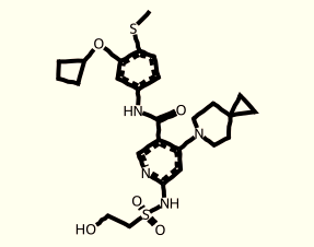 CSc1ccc(NC(=O)c2cnc(NS(=O)(=O)CCO)cc2N2CCC3(CC2)CC3)cc1OC1CCC1